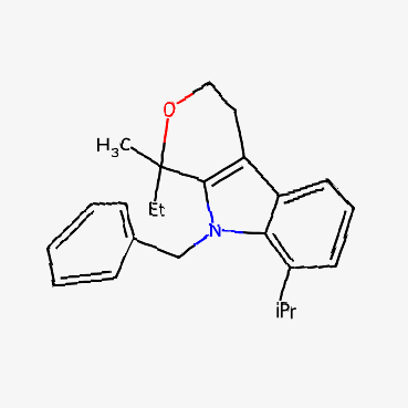 CCC1(C)OCCc2c1n(Cc1ccccc1)c1c(C(C)C)cccc21